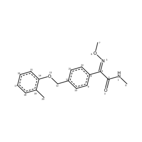 CNC(=O)/C(=N/OC)c1ccc(COc2ccccc2C)cc1